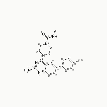 CNC(=O)N1CCN(c2nc(N)nc3ccc(-c4ccc(F)cc4)nc23)CC1